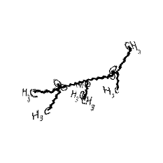 CCCCCCCCC(CCCCCC)C(=O)OCCCCCCCCCC(CCCCCCCCCOC(=O)C(CCCCCC)CCCCCCCC)OC(=N)CCCN(C)C